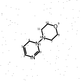 [C]1=NC=CCN1N1CCOCC1